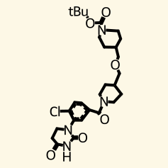 CC(C)(C)OC(=O)N1CCC(COCC2CCN(C(=O)c3ccc(Cl)c(N4CCC(=O)NC4=O)c3)CC2)CC1